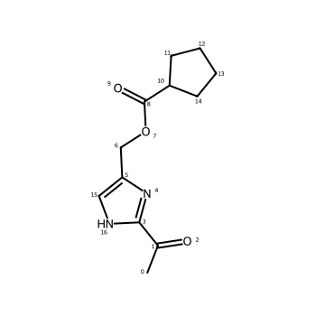 CC(=O)c1nc(COC(=O)C2CCCC2)c[nH]1